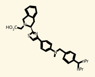 CCCC(CCC)c1ccc(CN(C)c2ccc(-c3csc([C@@H]4Cc5ccccc5CN4CC(=O)O)n3)cc2)cc1